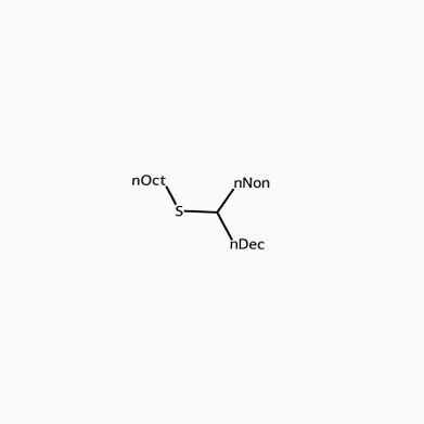 CCCCCCCCCCC(CCCCCCCCC)SCCCCCCCC